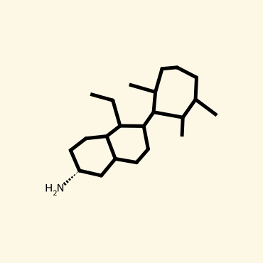 CCC1C2CC[C@@H](N)CC2CCC1C1C(C)CCCC(C)C1C